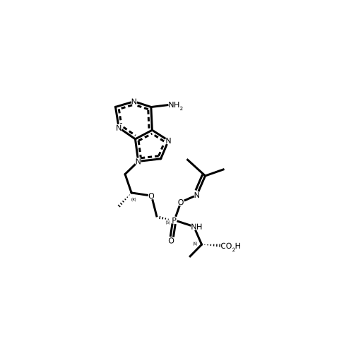 CC(C)=NO[P@@](=O)(CO[C@H](C)Cn1cnc2c(N)ncnc21)N[C@@H](C)C(=O)O